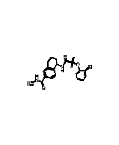 CC(C)(Oc1ccccc1Cl)C(=O)NC1CCCc2cc(C(=O)NO)ccc21